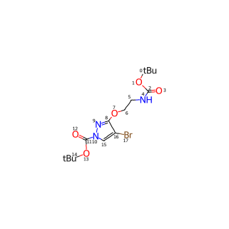 CC(C)(C)OC(=O)NCCOc1nn(C(=O)OC(C)(C)C)cc1Br